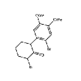 COc1cc(Br)c(C2CCCC(Br)C2=O)cc1OC